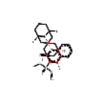 CCOP(=O)(OCC)c1nc2ccccc2n([C@H]2C[C@H]3CCC[C@@H](C2)N3[C@H]2C[C@@H]3C[C@@H](C)C[C@@H](C3)C2)c1=O